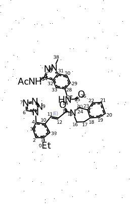 CCc1ccc(-n2cnnn2)c(/C=C/C(=O)N2CCc3ccccc3[C@H]2C(=O)Nc2ccc3c(c2)c(NC(C)=O)nn3C)c1